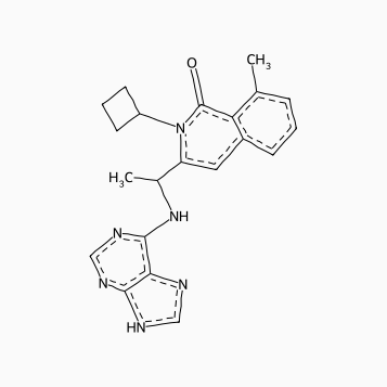 Cc1cccc2cc(C(C)Nc3ncnc4[nH]cnc34)n(C3CCC3)c(=O)c12